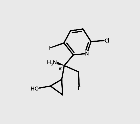 N[C@](CF)(c1nc(Cl)ccc1F)C1CC1O